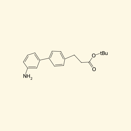 CC(C)(C)OC(=O)CCc1ccc(-c2cccc(N)c2)cc1